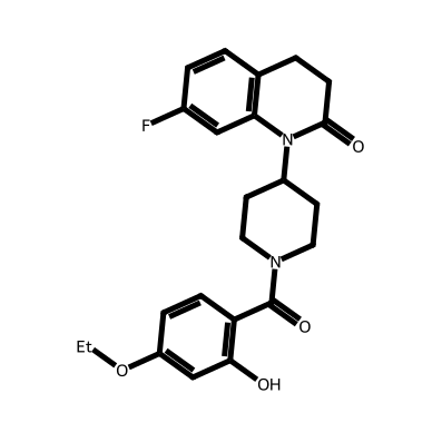 CCOc1ccc(C(=O)N2CCC(N3C(=O)CCc4ccc(F)cc43)CC2)c(O)c1